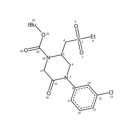 CCS(=O)(=O)CC1CN(c2cccc(Cl)c2)C(=O)CN1C(=O)OC(C)(C)C